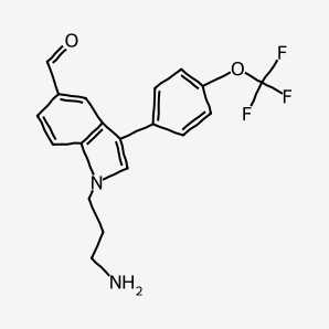 NCCCn1cc(-c2ccc(OC(F)(F)F)cc2)c2cc(C=O)ccc21